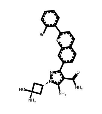 NC(=O)c1c(-c2ccc3ccc(-c4ccccc4Br)nc3c2)nn([C@H]2C[C@@](N)(O)C2)c1N